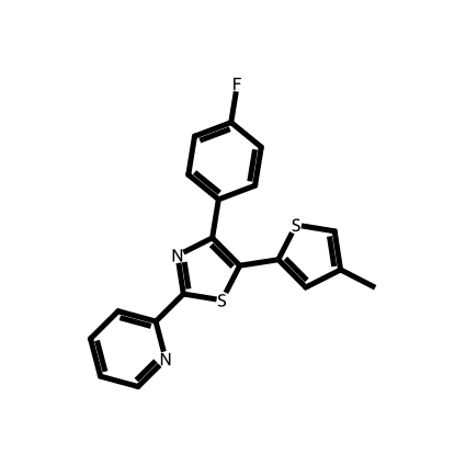 Cc1csc(-c2sc(-c3ccccn3)nc2-c2ccc(F)cc2)c1